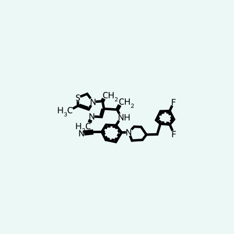 C=N/C=C(/C(=C)Nc1cc(C#N)ccc1N1CCC(Cc2ccc(F)cc2F)CC1)C(=C)N1C=C(C)SC1